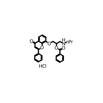 CCCNCC(COc1cccc2c(=O)cc(-c3ccccc3)oc12)OC(=O)c1ccccc1.Cl